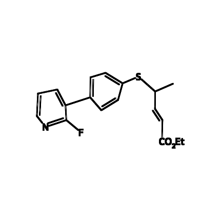 CCOC(=O)C=CC(C)Sc1ccc(-c2cccnc2F)cc1